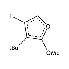 COc1occ(F)c1C(C)(C)C